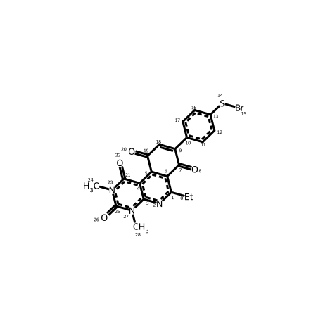 CCc1nc2c(c3c1C(=O)C(c1ccc(SBr)cc1)=CC3=O)c(=O)n(C)c(=O)n2C